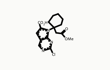 COC(=O)CC1(n2c(C(=O)O)cc3cnc(Cl)nc32)CCCCC1